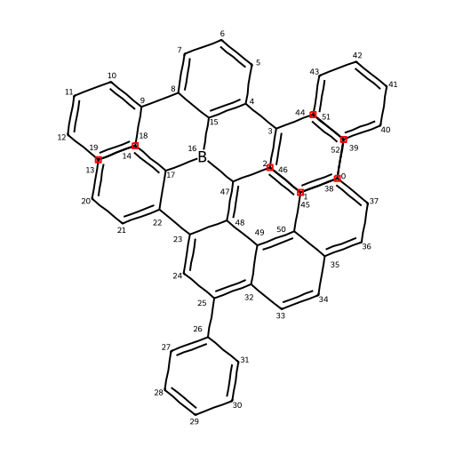 c1ccc(-c2cccc(-c3ccccc3)c2B2c3ccccc3-c3cc(-c4ccccc4)c4ccc5ccc(-c6ccccc6)c6cc2c3c4c56)cc1